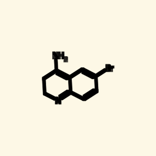 NC1=c2cc(Br)ccc2=NCC1